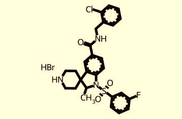 Br.CC1N(S(=O)(=O)c2cccc(F)c2)c2ccc(C(=O)NCc3ccccc3Cl)cc2C12CCNCC2